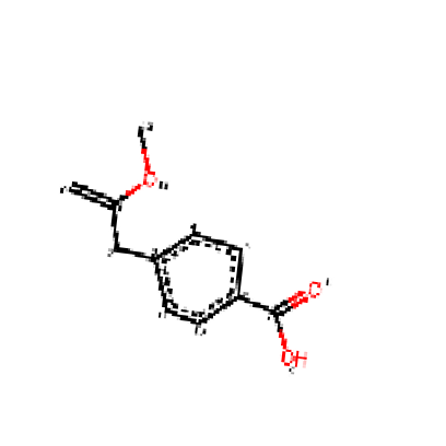 C=C(Cc1ccc(C(=O)O)cc1)OC